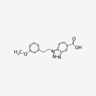 COc1cccc(CCn2nnc3cc(C(=O)O)ccc32)c1